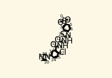 CS(=O)(=O)c1ccc2nc(NC(=O)NC(=O)c3cc(-n4ccnc4)ccc3Cl)sc2c1